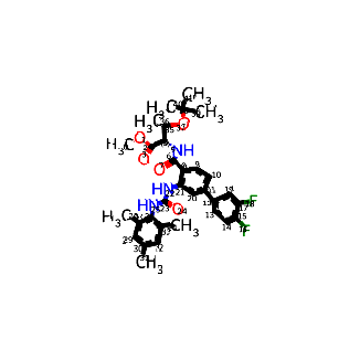 COC(=O)[C@@H](NC(=O)c1ccc(-c2ccc(F)c(F)c2)cc1NC(=O)Nc1c(C)cc(C)cc1C)C(C)OC(C)(C)C